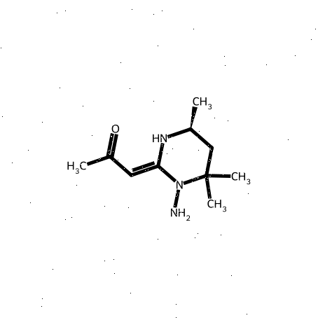 CC(=O)/C=C1\N[C@@H](C)CC(C)(C)N1N